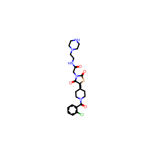 O=C(CN1C(=O)SC(=C2CCN(C(=O)c3ccccc3Cl)CC2)C1=O)NCCN1CCNCC1